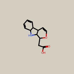 O=C(O)CC1OC=CC2C3C=CC=CC3NC12